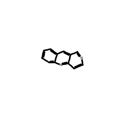 [c]1nccc2nc3ccccc3cc12